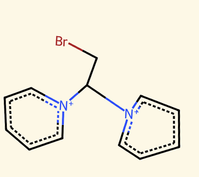 BrCC([n+]1ccccc1)[n+]1ccccc1